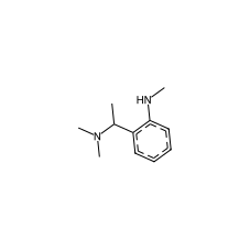 CNc1ccccc1C(C)N(C)C